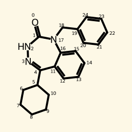 O=C1NN=C(C2CCCCC2)c2ccccc2N1Cc1ccccc1